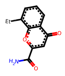 CCc1cccc2c(=O)cc(C(N)=O)oc12